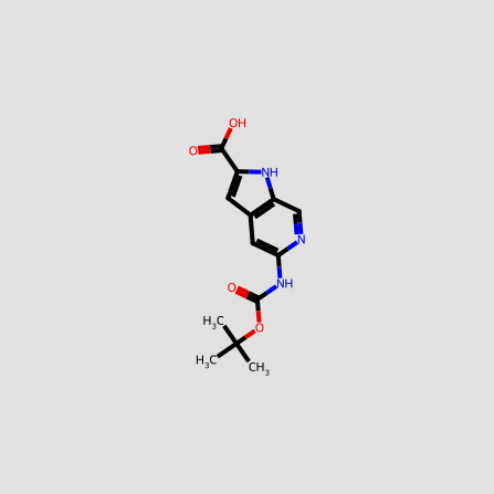 CC(C)(C)OC(=O)Nc1cc2cc(C(=O)O)[nH]c2cn1